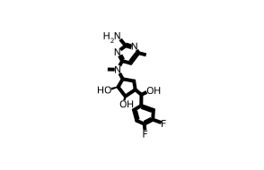 Cc1cc(N(C)C2CC(C(O)c3ccc(F)c(F)c3)[C@@H](O)[C@H]2O)nc(N)n1